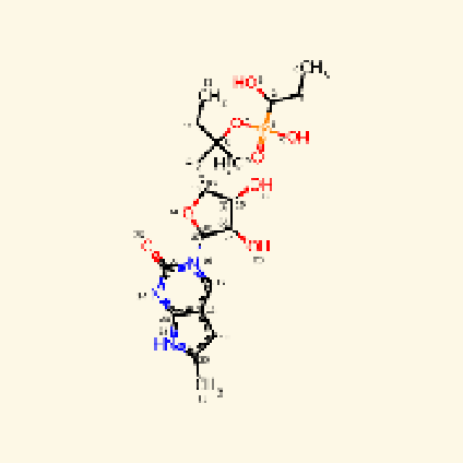 CCC(O)P(=O)(O)OC(C)(CC)C[C@H]1O[C@@H](n2cc3cc(C)[nH]c3nc2=O)[C@H](O)[C@@H]1O